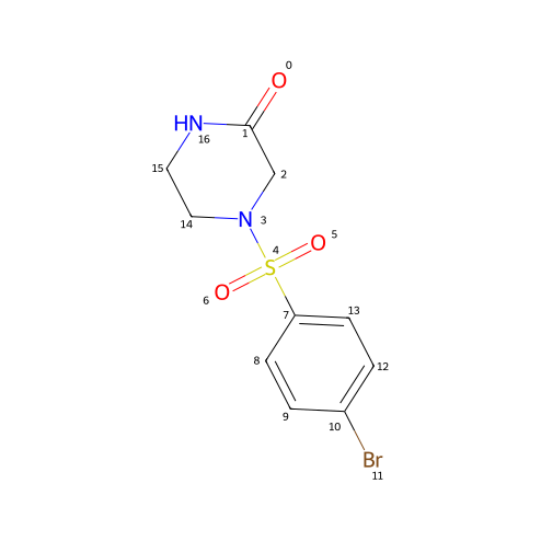 O=C1CN(S(=O)(=O)c2ccc(Br)cc2)CCN1